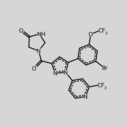 O=C1CN(C(=O)c2cc(-c3cc(Br)cc(OC(F)(F)F)c3)n(-c3ccnc(C(F)(F)F)c3)n2)CN1